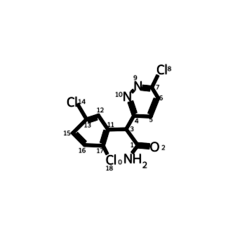 NC(=O)C(c1ccc(Cl)nn1)c1cc(Cl)ccc1Cl